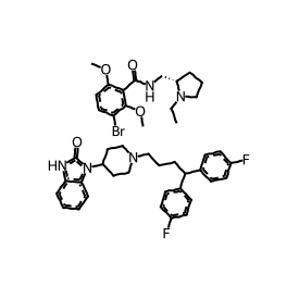 CCN1CCC[C@H]1CNC(=O)c1c(OC)ccc(Br)c1OC.O=c1[nH]c2ccccc2n1C1CCN(CCCC(c2ccc(F)cc2)c2ccc(F)cc2)CC1